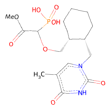 COC(=O)C(OC[C@@H]1CCCC[C@@H]1Cn1cc(C)c(=O)[nH]c1=O)P(=O)(O)O